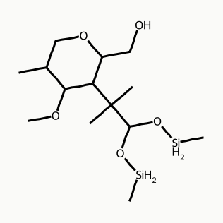 COC1C(C)COC(CO)C1C(C)(C)C(O[SiH2]C)O[SiH2]C